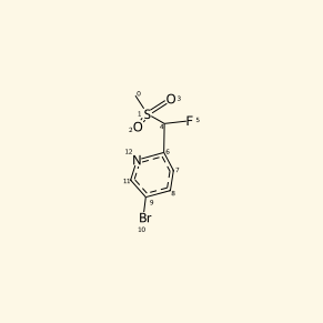 CS(=O)(=O)C(F)c1ccc(Br)cn1